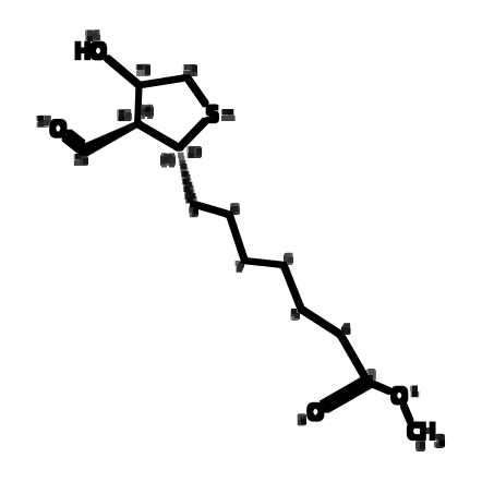 COC(=O)CCCCCC[C@H]1SCC(O)[C@@H]1C=O